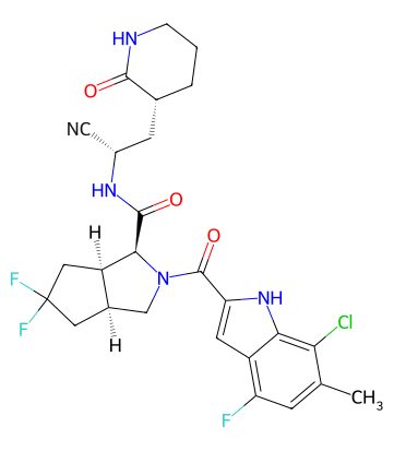 Cc1cc(F)c2cc(C(=O)N3C[C@H]4CC(F)(F)C[C@H]4[C@H]3C(=O)N[C@H](C#N)C[C@H]3CCCNC3=O)[nH]c2c1Cl